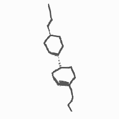 CCCC1=CCC([C@H]2CC[C@H](CCC)CC2)CC1